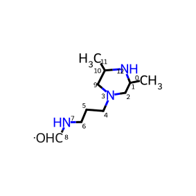 CC1CN(CCCN[C]=O)CC(C)N1